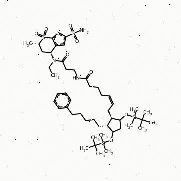 CCN(C(=O)CCNC(=O)CCC/C=C\C[C@H]1C(O[Si](C)(C)C(C)(C)C)CC(O[Si](C)(C)C(C)(C)C)[C@@H]1CCCCCc1ccccc1)[C@H]1C[C@H](C)S(=O)(=O)c2sc(S(N)(=O)=O)cc21